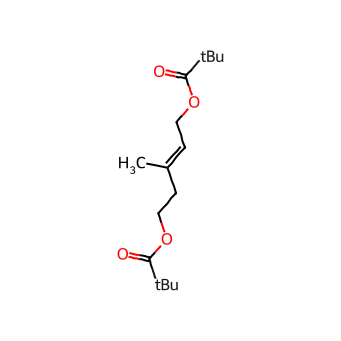 C/C(=C\COC(=O)C(C)(C)C)CCOC(=O)C(C)(C)C